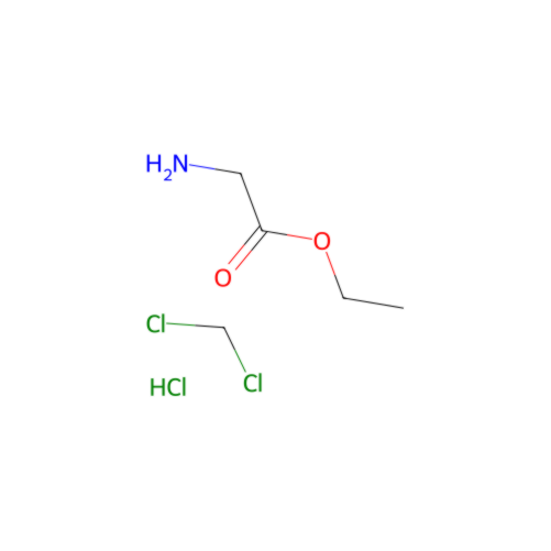 CCOC(=O)CN.Cl.ClCCl